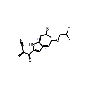 C=C(C#N)C(=O)c1cc(=C/COCC(F)F)/c(=C\C(C)Br)[nH]1